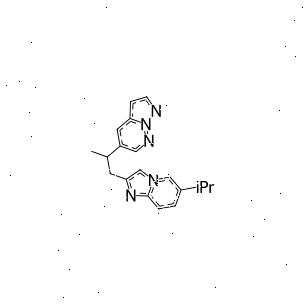 CC(C)c1ccc2nc(CC(C)c3cnn4nccc4c3)cn2c1